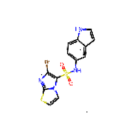 O=S(=O)(Nc1ccc2[nH]ccc2c1)c1c(Br)nc2sccn12